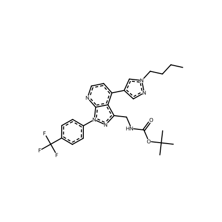 CCCCn1cc(-c2ccnc3c2c(CNC(=O)OC(C)(C)C)nn3-c2ccc(C(F)(F)F)cc2)cn1